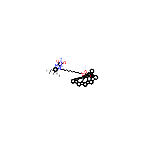 Cc1cc2nc3c(=O)[nH]c(=O)nc-3n(CCCCCCCCCCCCOC(=O)CCCC3(c4ccccc4)C45C6=CC=C7c8ccc9c%10ccc%11c%12ccc%13c%14ccc6c6c4c4c%15c(c8c9c8c%10c%11c9c%12c%13c(c6%14)c4c9c%158)C735)c2cc1C